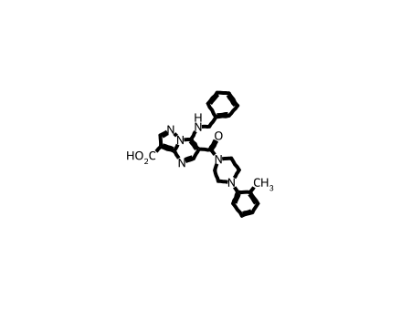 Cc1ccccc1N1CCN(C(=O)c2cnc3c(C(=O)O)cnn3c2NCc2ccccc2)CC1